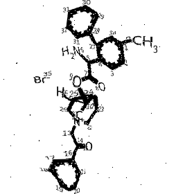 Cc1ccc(C(N)C(=O)O[C@H]2C[N+]3(CC(=O)c4ccccc4)CCC2CC3)c(-c2ccccc2)c1.[Br-]